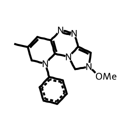 CON1C=C2N=NC3=C(N2C1)N(c1ccccc1)CC(C)=C3